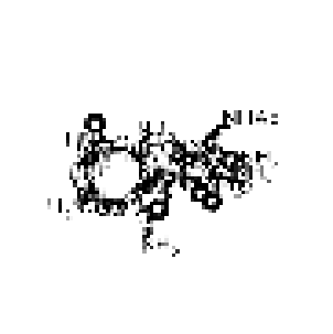 CC(=O)NCCCCC(NC(=O)C1(NC(=O)C(Cc2ccc3ccccc3c2)NC(=O)C(Cc2ccc(OCCN)cc2)NC(=O)C2NC(=O)C(CCC(N)=O)NC(=O)C(Cc3c[nH]c4ccccc34)NC(=O)C(C(C)O)NC(=O)C(CC(N)=O)NC(=O)C(NC(C)=O)C(C)(C)SSC2(C)C)CCOCC1)C(=O)NC(CC(N)=O)C(=O)NC(CC(N)=O)C(N)=O